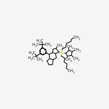 CCCCCCS(CCCCCC)(C1C(C)C(C)C(C)C1C)C1C(C)CC2C1CC1CCCC1C2c1cc(C(C)(C)C)cc(C(C)(C)C)c1